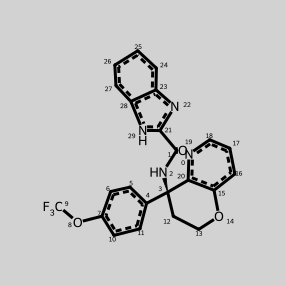 O=C(N[C@]1(c2ccc(OC(F)(F)F)cc2)CCOc2cccnc21)c1nc2ccccc2[nH]1